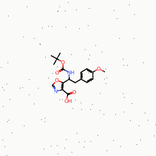 COc1ccc(CC(NC(=O)OC(C)(C)C)c2ocnc2C(=O)O)cc1